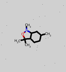 CC1CCC2C(C1)N(C)OC2(C)C